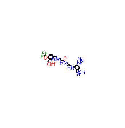 O=C(CCNCc1ccc(OC(F)(F)F)c(CO)c1)NCCCNc1cc(-n2cnnc2)cc2[nH]ncc12